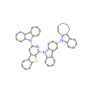 C1=Cc2c(c3ccccc3n2-c2ccc3c(c2)c2ccccc2n3-c2nc(-n3c4ccccc4c4ccccc43)cc3c2sc2ccccc23)CCC1